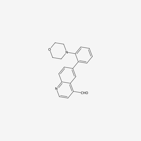 O=Cc1ccnc2ccc(-c3ccccc3N3CCOCC3)cc12